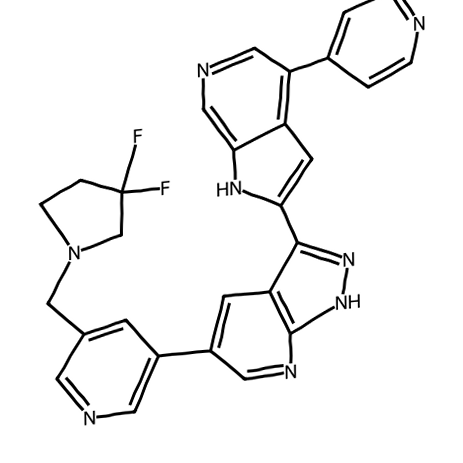 FC1(F)CCN(Cc2cncc(-c3cnc4[nH]nc(-c5cc6c(-c7ccncc7)cncc6[nH]5)c4c3)c2)C1